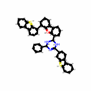 c1ccc(C2N=C(c3ccc4c(c3)sc3ccccc34)NC(c3cccc4c3oc3c(-c5cccc6c5sc5ccccc56)cccc34)N2)cc1